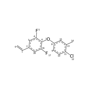 C=Cc1cc(F)c(Oc2ccc(Cl)c(C)c2)c(F)c1